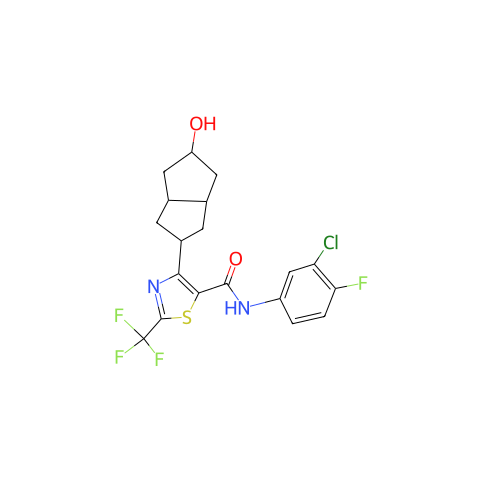 O=C(Nc1ccc(F)c(Cl)c1)c1sc(C(F)(F)F)nc1C1CC2CC(O)CC2C1